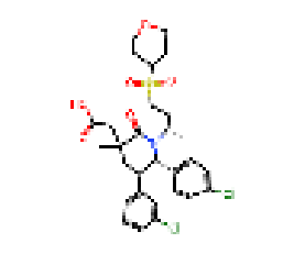 C[C@@H](CCS(=O)(=O)C1CCOCC1)N1C(=O)[C@@](C)(CC(=O)O)C[C@H](c2cccc(Cl)c2)[C@H]1c1ccc(Cl)cc1